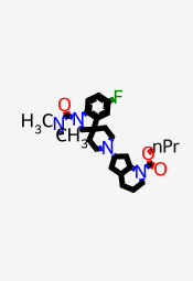 CCCOC(=O)N1CCCC2CC(N3CCC4(CC3)CN(C(=O)N(C)C)c3ccc(F)cc34)CC21